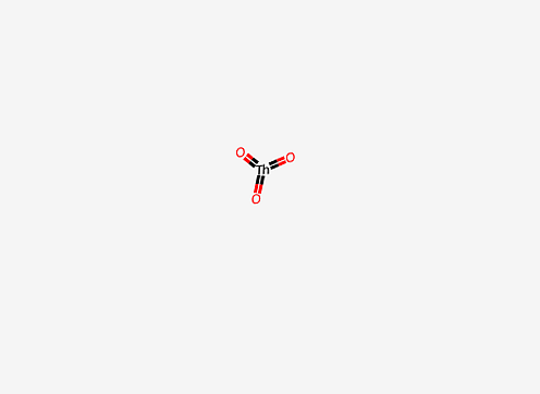 [O]=[Th](=[O])=[O]